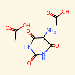 CC(=O)O.CC(=O)O.NC1C(=O)NC(=O)NC1=O